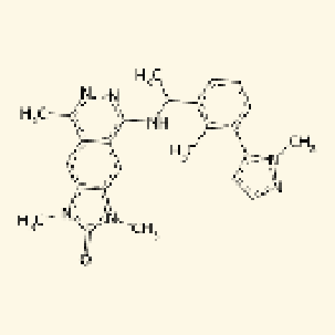 Cc1c(-c2ccnn2C)cccc1C(C)Nc1nnc(C)c2cc3c(cc12)n(C)c(=O)n3C